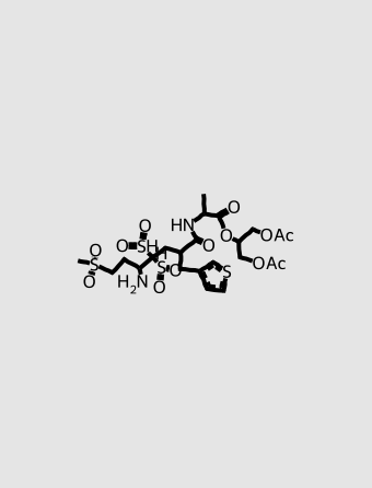 CC(=O)OCC(COC(C)=O)OC(=O)C(C)NC(=O)C(Cc1ccsc1)CC(C(N)CCS(C)(=O)=O)([SH](=O)=O)[SH](=O)=O